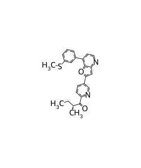 CC[C@H](C)C(=O)c1ccc(-c2cc3nccc(-c4cccc(SC)c4)c3o2)cn1